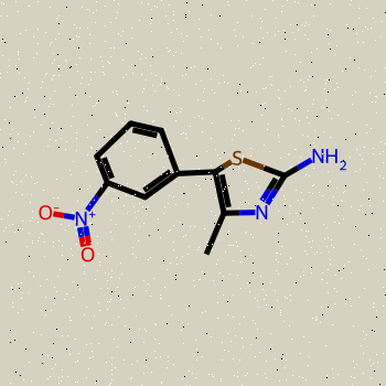 Cc1nc(N)sc1-c1cccc([N+](=O)[O-])c1